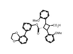 COc1ccccc1C1[C@H](C(=O)O)C(c2ccccc2OC)[C@H]1C(=O)Oc1cccc(-c2cccc3c2OCCO3)c1